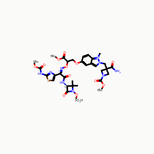 C[n+]1c2ccc(OCC(O/N=C(\C(=O)N[C@@H]3C(=O)N(OS(=O)(=O)O)C3(C)C)c3csc(NC(=O)OC(C)(C)C)n3)C(=O)OC(C)(C)C)cc2cn1CC1(C(N)=O)CN(C(=O)OC(C)(C)C)C1